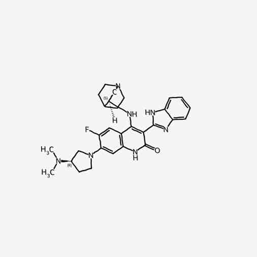 CN(C)[C@@H]1CCN(c2cc3[nH]c(=O)c(-c4nc5ccccc5[nH]4)c(N[C@@H]4CN5CCC4CC5)c3cc2F)C1